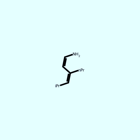 CCCC(/C=C\N)=C/C(C)C